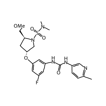 COC[C@@H]1C[C@@H](Oc2cc(F)cc(NC(=O)Nc3ccc(C)nc3)c2)CN1S(=O)(=O)N(C)C